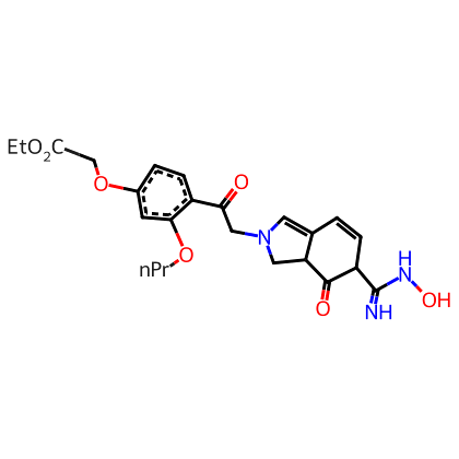 CCCOc1cc(OCC(=O)OCC)ccc1C(=O)CN1C=C2C=CC(C(=N)NO)C(=O)C2C1